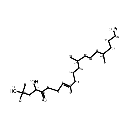 CC(=CCCC(=O)C(O)CC(C)(C)O)CCCC(C)CCCC(C)CCCC(C)C